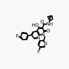 O=C(NC12CC(C1)C2)c1c(O)c2cc(-c3ccc(F)cc3)cnc2n(Cc2ccc(F)cn2)c1=O